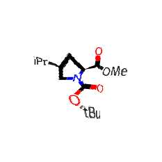 COC(=O)[C@@H]1C[C@H](C(C)C)CN1C(=O)OC(C)(C)C